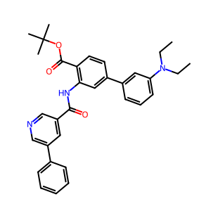 CCN(CC)c1cccc(-c2ccc(C(=O)OC(C)(C)C)c(NC(=O)c3cncc(-c4ccccc4)c3)c2)c1